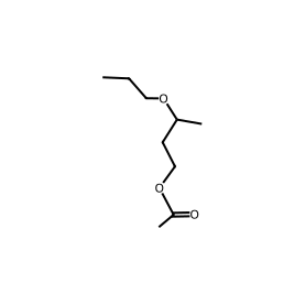 CCCOC(C)CCOC(C)=O